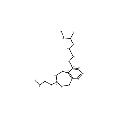 CCCCN1CCc2cccc(OCCCC(C)CC)c2CC1